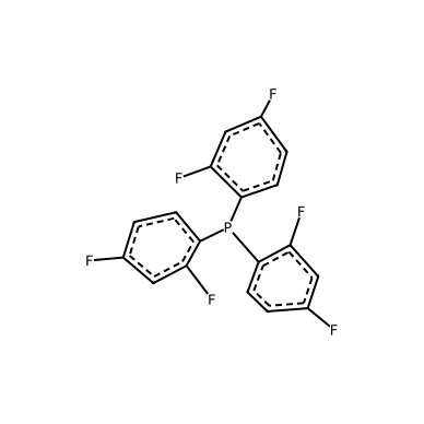 Fc1ccc(P(c2ccc(F)cc2F)c2ccc(F)cc2F)c(F)c1